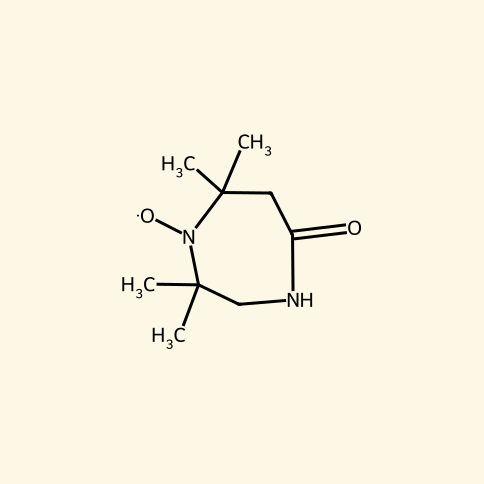 CC1(C)CNC(=O)CC(C)(C)N1[O]